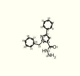 NNC(=O)c1cc(-c2ccccc2)nn1Cc1ccccc1